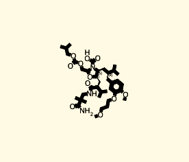 COCCCOc1cc(C[C@H](C[C@H]2[C@H](C[C@H](C(=O)NCC(C)(C)C(N)=O)C(C)C)OC(COC(=O)OCC(C)C)N2C(=O)O)C(C)C)ccc1OC